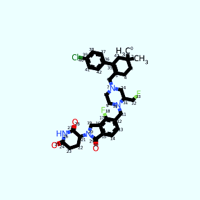 CC1(C)CCC(CN2CCN(Cc3ccc4c(c3F)CN(C3CCC(=O)NC3=O)C4=O)C(CF)C2)=C(c2ccc(Cl)cc2)C1